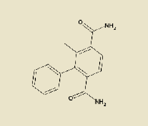 Cc1c(C(N)=O)ccc(C(N)=O)c1-c1ccccc1